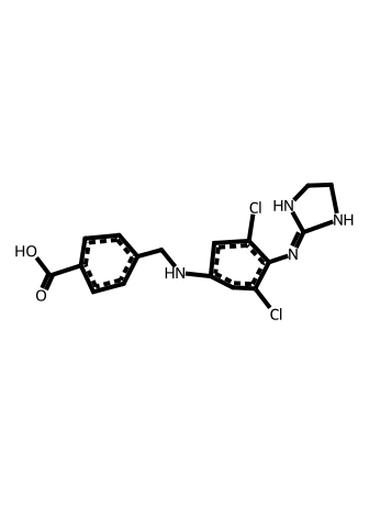 O=C(O)c1ccc(CNc2cc(Cl)c(N=C3NCCN3)c(Cl)c2)cc1